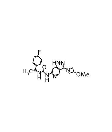 COC1CN(c2n[nH]c3cc(NC(=O)N[C@H](C)c4ccc(F)cc4)ncc23)C1